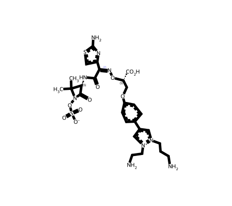 CC1(C)[C@H](NC(=O)/C(=N\O[C@@H](COc2ccc(-c3cn(CCCN)[n+](CCN)c3)cc2)C(=O)O)c2csc(N)n2)C(=O)N1OS(=O)(=O)[O-]